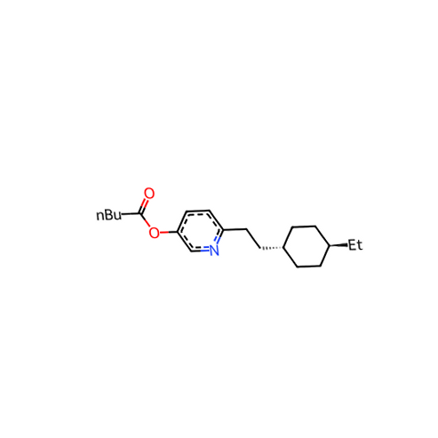 CCCCC(=O)Oc1ccc(CC[C@H]2CC[C@H](CC)CC2)nc1